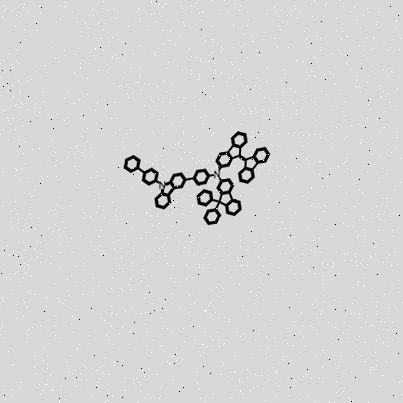 c1ccc(-c2ccc(-n3c4ccccc4c4cc(-c5ccc(N(c6ccc7c(c6)C(=C6c8ccccc8-c8ccccc86)c6ccccc6-7)c6ccc7c(c6)C(c6ccccc6)(c6ccccc6)c6ccccc6-7)cc5)ccc43)cc2)cc1